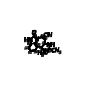 CC(C)NC1CCn2c(=O)[nH]c3cccc(c32)C1O.Cl